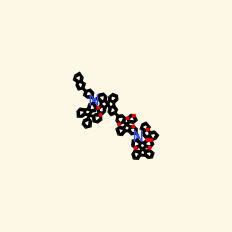 c1ccc(C2(c3ccccc3)c3ccccc3-c3cc(N(c4ccc(-c5ccc6ccccc6c5)cc4)c4cccc5c4-c4ccccc4C54c5ccccc5-c5cc(-c6ccc(C7(c8ccccc8)c8ccccc8-c8cc(N(c9cccc%10c9-c9ccccc9C%109c%10ccccc%10-c%10ccccc%109)c9cc%10ccccc%10c%10ccccc9%10)ccc87)cc6)ccc54)ccc32)cc1